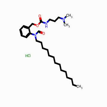 CCCCCCCCCCCCCCN(C=O)c1ccccc1COC(=O)NCCCN(C)C.Cl